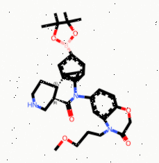 COCCCN1C(=O)COc2ccc(N(C(=O)[C@H]3CNCC[C@@H]3c3cccc(B4OC(C)(C)C(C)(C)O4)c3)C3CC3)cc21